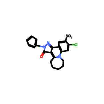 O=c1c2c3n(c4cc(Cl)c([N+](=O)[O-])cc4c-2nn1-c1ccccc1)CCCCC3